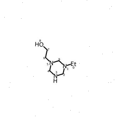 CCN1CNCN(CCO)C1